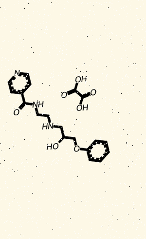 O=C(NCCNCC(O)COc1ccccc1)c1ccncc1.O=C(O)C(=O)O